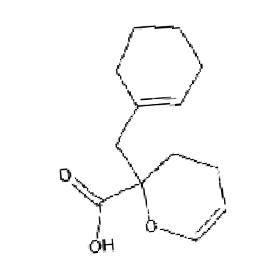 O=C(O)C1(CC2=CCCCC2)CCC=CO1